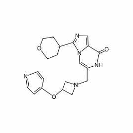 O=c1[nH]c(CN2CC(Oc3ccncc3)C2)cn2c(C3CCOCC3)ncc12